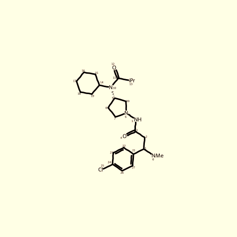 CNC(CC(=O)NN1CC[C@H](N(C(=O)C(C)C)C2CCCCC2)C1)c1ccc(Cl)cc1